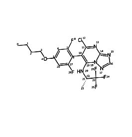 CCCCOc1cc(F)c(-c2c(Cl)nc3ncnn3c2N[C@@H](C)C(F)(F)F)c(F)c1